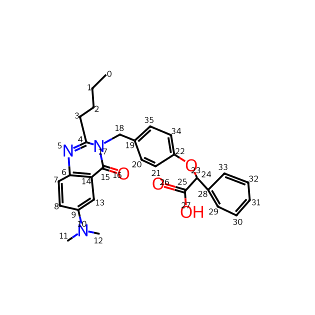 CCCCc1nc2ccc(N(C)C)cc2c(=O)n1Cc1ccc(OC(C(=O)O)c2ccccc2)cc1